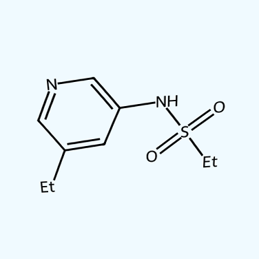 CCc1cncc(NS(=O)(=O)CC)c1